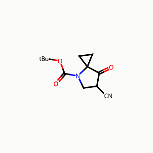 CC(C)(C)OC(=O)N1CC(C#N)C(=O)C12CC2